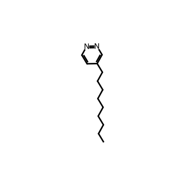 CCCCCCCCCc1ccnnc1